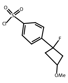 COC1CC(F)(c2ccc(S(=O)(=O)Cl)cc2)C1